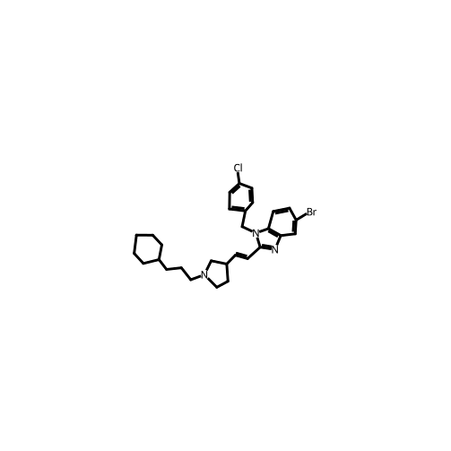 Clc1ccc(Cn2c(/C=C/C3CCN(CCCC4CCCCC4)C3)nc3cc(Br)ccc32)cc1